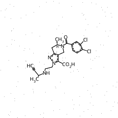 C#CC(C)NCCn1nc2c(c1C(=O)O)CN(C(=O)c1ccc(Cl)c(Cl)c1)[C@H](C)C2